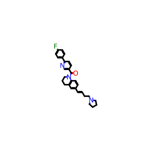 O=C(c1ccc(-c2ccc(F)cc2)nc1)N1CCCc2cc(/C=C/CCN3CCCC3)ccc21